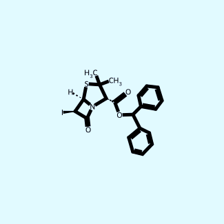 CC1(C)S[C@@H]2[C@H](I)C(=O)N2[C@H]1C(=O)OC(c1ccccc1)c1ccccc1